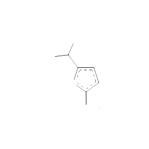 O=C(O)c1ccc(C(F)F)o1